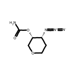 [N-]=[N+]=N[C@@H]1CCOC[C@@H]1OC(N)=O